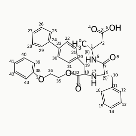 C[C@H](CC(=O)O)NC(=O)[C@H](Cc1ccccc1)NC(Cc1ccc(-c2ccccc2)cc1)C(=O)OCCOc1ccccc1